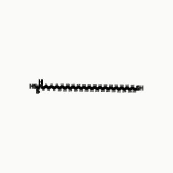 S=C(S)NCCCCCCCCCCCCCCCCCCCCCCCCCCCCCCCCCCCS